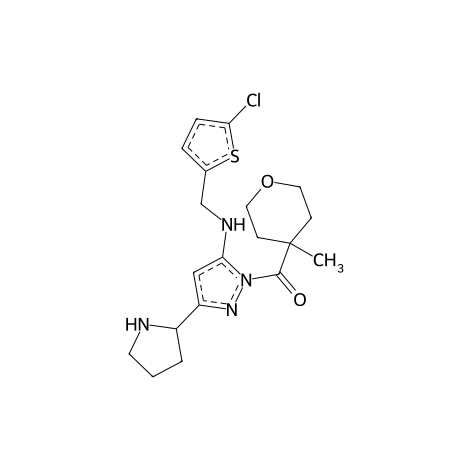 CC1(C(=O)n2nc(C3CCCN3)cc2NCc2ccc(Cl)s2)CCOCC1